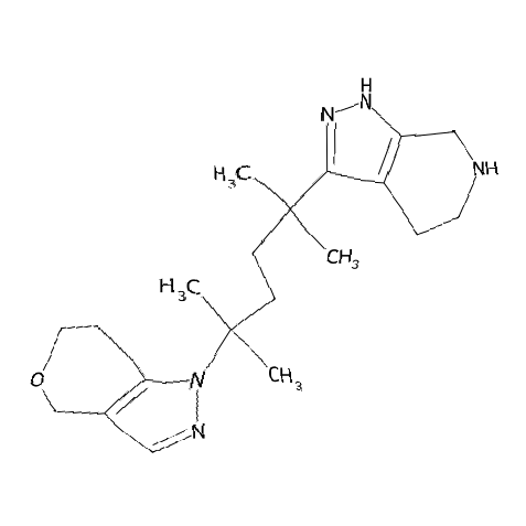 CC(C)(CCC(C)(C)n1ncc2c1CCOC2)c1n[nH]c2c1CCNC2